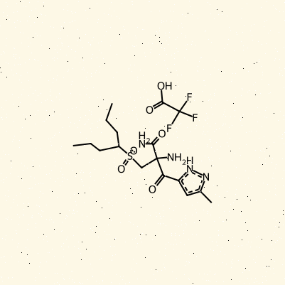 CCCC(CCC)S(=O)(=O)CC(N)(C(N)=O)C(=O)c1cc(C)n[nH]1.O=C(O)C(F)(F)F